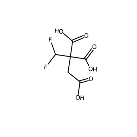 O=C(O)CC(C(=O)O)(C(=O)O)C(F)F